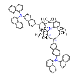 C=C1/C2=C\C(c3ccc4cc(N(c5cccc6ccccc56)c5cccc6ccccc56)ccc4c3)=C/CC(C)(C)c3cccc4c3N1c1c(cc(-c3ccc5cc(N(c6cccc7ccccc67)c6cccc7ccccc67)ccc5c3)cc1C4(C)C)C2(C)C